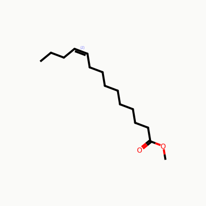 CCC/C=C\CCCCCCCCC(=O)OC